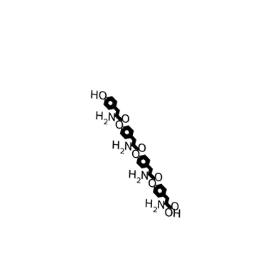 N[C@@H](Cc1ccc(OC(=O)[C@@H](N)Cc2ccc(OC(=O)[C@@H](N)Cc3ccc(OC(=O)[C@@H](N)Cc4ccc(O)cc4)cc3)cc2)cc1)C(=O)O